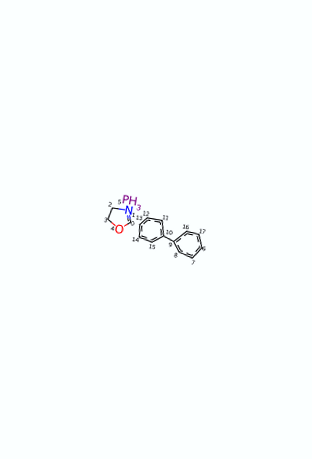 C1=NCCO1.P.c1ccc(-c2ccccc2)cc1